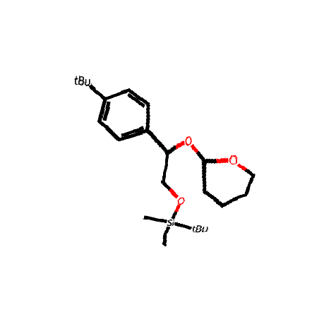 CC(C)(C)c1ccc(C(CO[Si](C)(C)C(C)(C)C)OC2CCCCO2)cc1